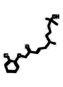 C[C@@H](C/C=C/C(=O)COc1ccccc1Cl)CCCC(C)(C)O